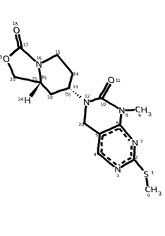 CSc1ncc2c(n1)N(C)C(=O)N([C@H]1CCN3C(=O)OC[C@H]3C1)C2